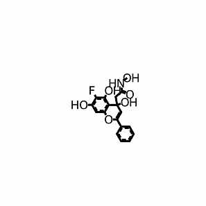 O=C(CC1(O)C=C(c2ccccc2)Oc2cc(O)c(F)c(O)c21)NO